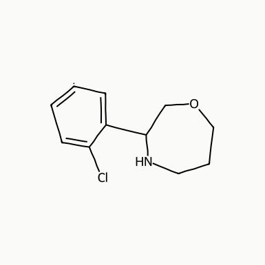 Clc1cc[c]cc1C1COCCCN1